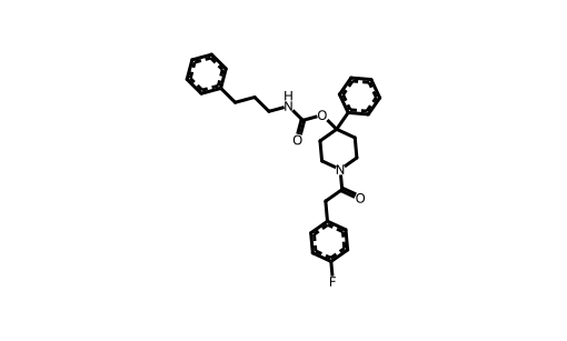 O=C(NCCCc1ccccc1)OC1(c2ccccc2)CCN(C(=O)Cc2ccc(F)cc2)CC1